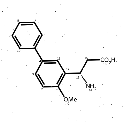 COc1ccc(-c2ccccc2)cc1[C@@H](N)CC(=O)O